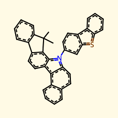 CC1(C)c2ccccc2-c2ccc3c4c5ccccc5ccc4n(-c4ccc5c(c4)sc4ccccc45)c3c21